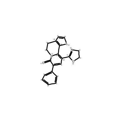 O=c1c(-c2ccccc2)cc(C2=NCCO2)c2n1CCc1ccsc1-2